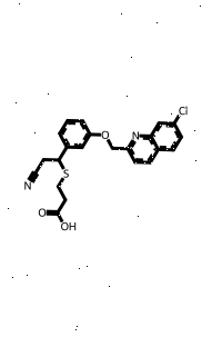 N#CCC(SCCC(=O)O)c1cccc(OCc2ccc3ccc(Cl)cc3n2)c1